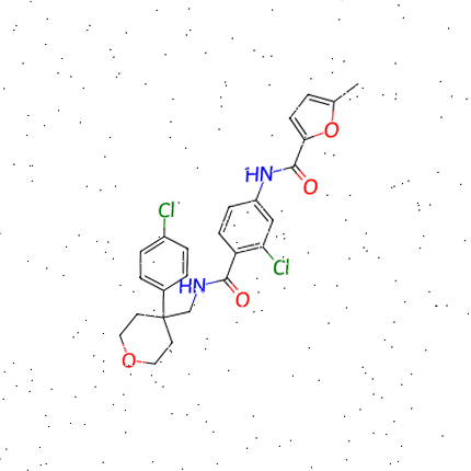 Cc1ccc(C(=O)Nc2ccc(C(=O)NCC3(c4ccc(Cl)cc4)CCOCC3)c(Cl)c2)o1